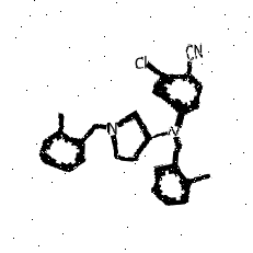 Cc1ccccc1CN1CC[C@H](N(Cc2ccccc2C)c2ccc(C#N)c(Cl)c2)C1